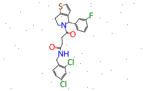 O=C(CCC(=O)N1CCc2sccc2C1c1cccc(F)c1)NCc1ccc(Cl)cc1Cl